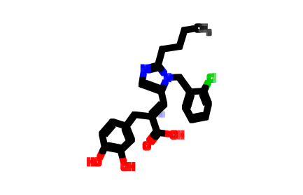 CCCCc1ncc(/C=C(\Cc2ccc(O)c(O)c2)C(=O)O)n1Cc1ccccc1Cl